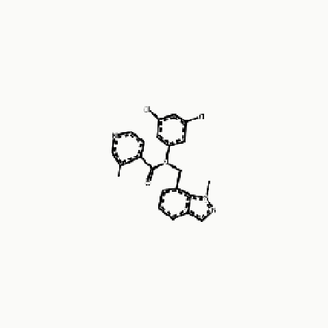 Cc1cnccc1C(=O)N(Cc1cccc2cnn(C)c12)c1cc(Cl)cc(Cl)c1